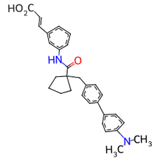 CN(C)c1ccc(-c2ccc(CC3(C(=O)Nc4cccc(/C=C/C(=O)O)c4)CCCC3)cc2)cc1